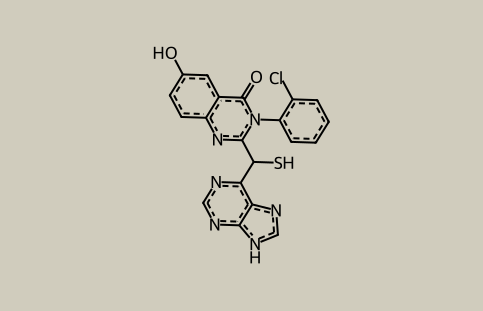 O=c1c2cc(O)ccc2nc(C(S)c2ncnc3[nH]cnc23)n1-c1ccccc1Cl